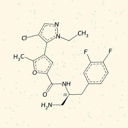 CCn1ncc(Cl)c1-c1cc(C(=O)N[C@H](CN)Cc2ccc(F)c(F)c2)oc1C